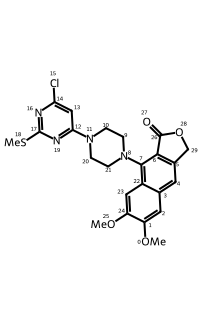 COc1cc2cc3c(c(N4CCN(c5cc(Cl)nc(SC)n5)CC4)c2cc1OC)C(=O)OC3